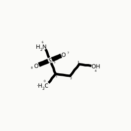 [CH2]C(CCO)S(N)(=O)=O